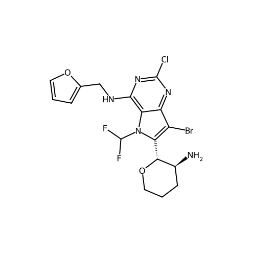 N[C@H]1CCCO[C@@H]1c1c(Br)c2nc(Cl)nc(NCc3ccco3)c2n1C(F)F